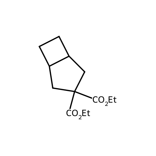 CCOC(=O)C1(C(=O)OCC)CC2CCC2C1